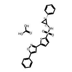 O=C(O)O.O=S(=O)(N[C@H]1C[C@@H]1c1ccccc1)c1ccc(-c2cc(-c3ccccc3)on2)s1